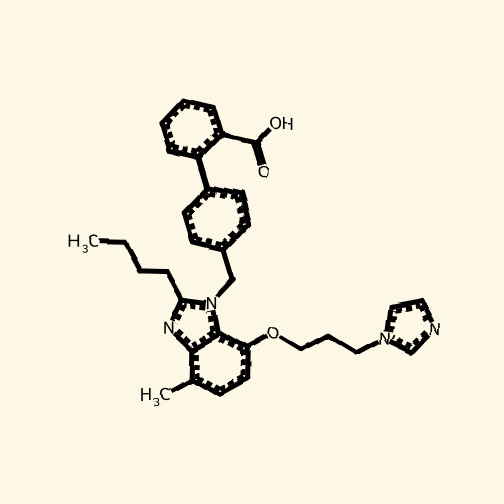 CCCCc1nc2c(C)ccc(OCCCn3ccnc3)c2n1Cc1ccc(-c2ccccc2C(=O)O)cc1